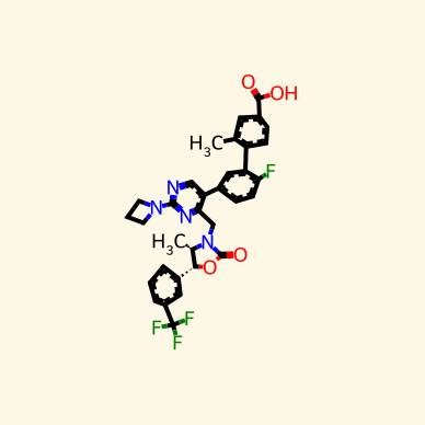 Cc1cc(C(=O)O)ccc1-c1cc(-c2cnc(N3CCC3)nc2CN2C(=O)O[C@H](c3cccc(C(F)(F)F)c3)[C@@H]2C)ccc1F